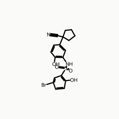 N#CC1(c2ccc(O)c(NS(=O)(=O)c3cc(Br)ccc3O)c2)CCCC1